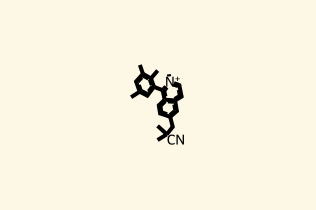 Cc1cc(C)c(C)c(-c2c3ccc(CC(C)(C)C#N)cc3cc[n+]2C)c1